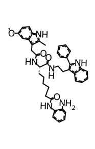 COc1ccc2[nH]c(C)c(CC(=O)N[C@@H](CCCCCC(=O)Nc3ccccc3N)C(=O)NCCc3c(-c4ccccc4)[nH]c4ccccc34)c2c1